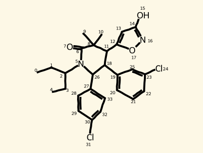 CCC(CC)N1C(=O)C(C)(C)C(c2cc(O)no2)C(c2cccc(Cl)c2)C1c1ccc(Cl)cc1